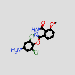 COc1cccc2c(Oc3c(Cl)cc(N)cc3Cl)n[nH]c(=O)c12